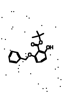 CC(C)(C)OC(=O)c1c(O)cccc1OCc1ccccc1